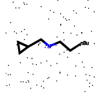 CCCCCC[N]CC1CC1